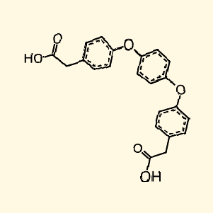 O=C(O)Cc1ccc(Oc2ccc(Oc3ccc(CC(=O)O)cc3)cc2)cc1